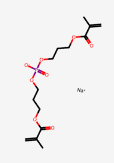 C=C(C)C(=O)OCCCOP(=O)([O-])OCCCOC(=O)C(=C)C.[Na+]